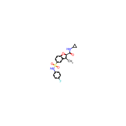 Cc1c(C(=O)NC2CC2)oc2ccc(S(=O)(=O)Nc3ccc(F)cc3)cc12